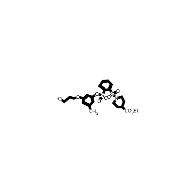 CCOC(=O)C1CCN(S(=O)(=O)c2ccccc2S(=O)(=O)Oc2cc(C)cc(OCCC[O])c2)CC1